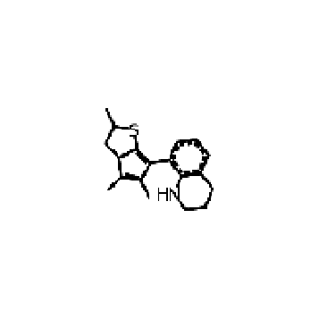 CC1=C(C)C2CC(C)SC2=C1c1cccc2c1NCCC2